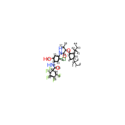 CCC(C)(C)c1ccc(OC(C(=O)Nc2cc(O)c(NC(=O)C3(F)C=C(F)C(F)=C(F)C3F)cc2Cl)C(C)C)c(C(C)(C)CC)c1